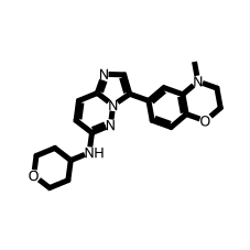 CN1CCOc2ccc(-c3cnc4ccc(NC5CCOCC5)nn34)cc21